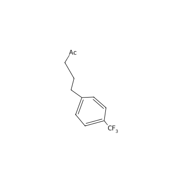 CC(=O)CCCc1ccc(C(F)(F)F)cc1